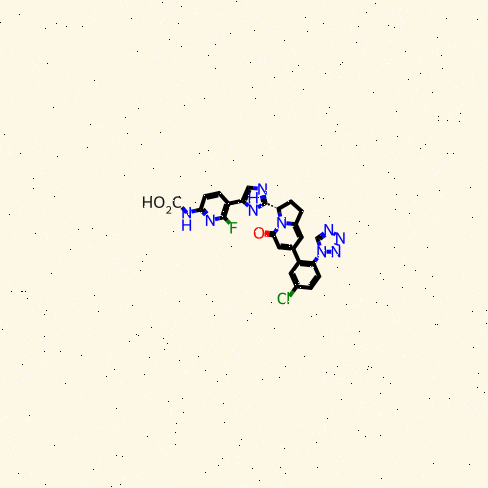 O=C(O)Nc1ccc(-c2cnc([C@@H]3CCc4cc(-c5cc(Cl)ccc5-n5cnnn5)cc(=O)n43)[nH]2)c(F)n1